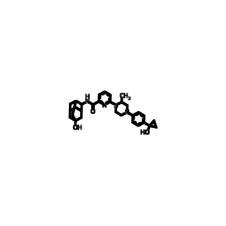 CC1CN(c2ccc(C3(O)CC3)cc2)CCN1c1cccc(C(=O)NC2C3CC4CC2CC(O)(C4)C3)n1